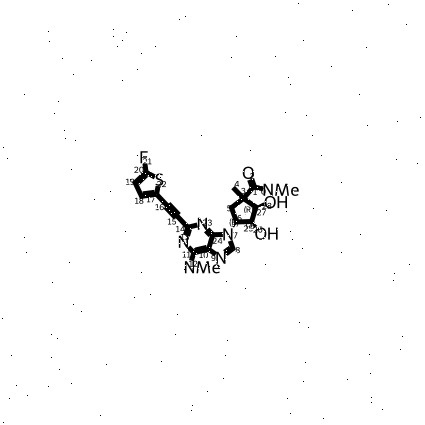 CNC(=O)C1(C)C[C@@H](n2cnc3c(NC)nc(C#Cc4ccc(F)s4)nc32)[C@H](O)[C@@H]1O